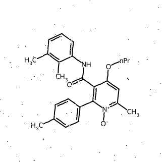 CCCOc1cc(C)[n+]([O-])c(-c2ccc(C)cc2)c1C(=O)Nc1cccc(C)c1C